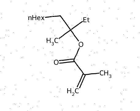 C=C(C)C(=O)OC(C)(CC)CCCCCCC